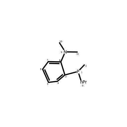 CCCP(C)c1ccccc1N(C)C